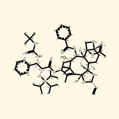 C=C[C@@H]1O[C@@H]2C3=C(C)[C@@H](OC(=O)[C@H](O[Si](C(C)C)(C(C)C)C(C)C)[C@@H](NC(=O)OC(C)(C)C)c4ncccn4)C[C@@](O)([C@@H](OC(=O)c4ccccc4)[C@H]4[C@@](C)(CC[C@H]5OC[C@]54OC(C)=O)[C@@H]2O1)C3(C)C